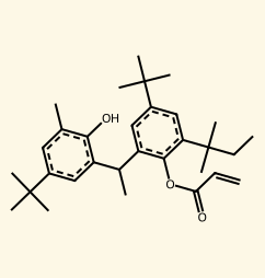 C=CC(=O)Oc1c(C(C)c2cc(C(C)(C)C)cc(C)c2O)cc(C(C)(C)C)cc1C(C)(C)CC